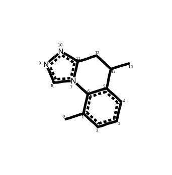 Cc1cccc2c1-n1cnnc1CC2C